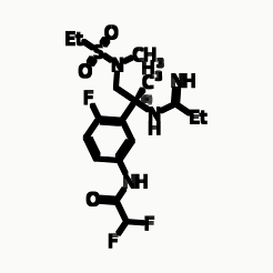 CCC(=N)N[C@@](C)(CN(C)S(=O)(=O)CC)c1cc(NC(=O)C(F)F)ccc1F